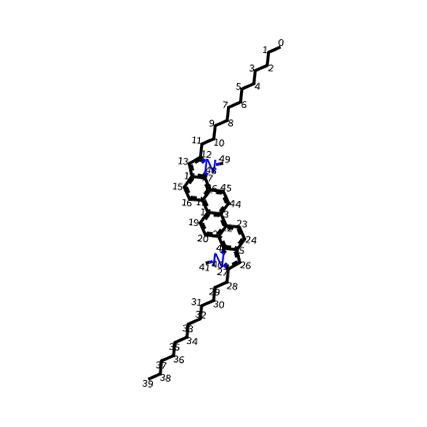 CCCCCCCCCCCCc1cc2ccc3c4ccc5c(ccc6cc(CCCCCCCCCCCC)n(C)c65)c4ccc3c2n1C